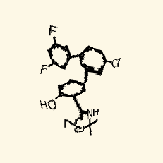 CC1(C)NC(c2cc(-c3cc(Cl)ccc3-c3cc(F)cc(F)c3)ccc2O)=NO1